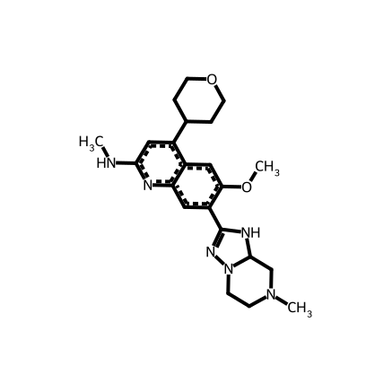 CNc1cc(C2CCOCC2)c2cc(OC)c(C3=NN4CCN(C)CC4N3)cc2n1